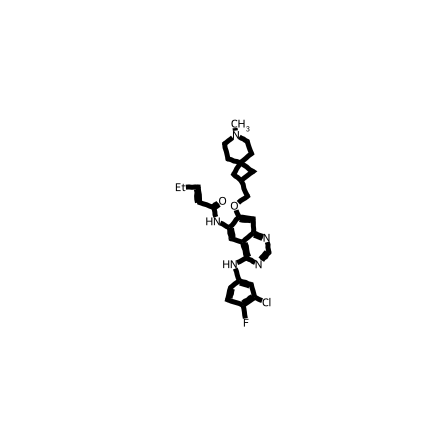 CCC=CC(=O)Nc1cc2c(Nc3ccc(F)c(Cl)c3)ncnc2cc1OCC1CC2(CCN(C)CC2)C1